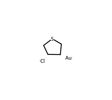 C1CCSC1.[Au].[Cl]